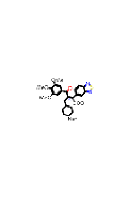 COc1cc(C(=O)/C(CC2CCCCC2)=C(/C(=O)[O-])c2ccc3nsnc3c2)cc(OC)c1OC.[Na+]